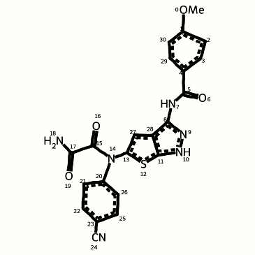 COc1ccc(C(=O)Nc2n[nH]c3sc(N(C(=O)C(N)=O)c4ccc(C#N)cc4)cc23)cc1